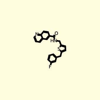 O=C(NCc1ccc(Cc2cccc(F)c2)s1)c1ccc2ncccc2c1